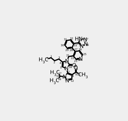 CCCCc1cn(-c2c(C(C)=O)cnn2C(C)C)c(=O)n1Cc1cnccc1-c1ccccc1-c1nnn[nH]1